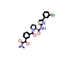 CN(C)C(=O)C(=O)c1cccc(C(=O)N2CCC[C@H]2C(=O)Nc2nc(-c3cccc(Br)c3)cs2)c1